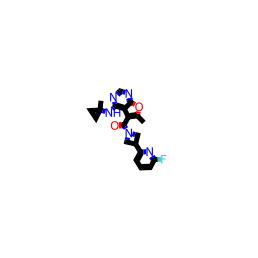 Cc1oc2ncnc(NC3(C)CC3)c2c1C(=O)N1CC(c2cccc(F)n2)C1